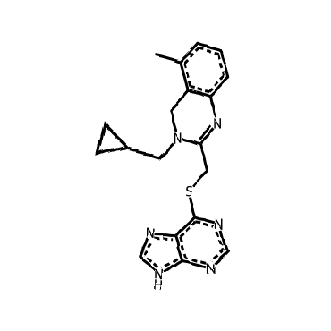 Cc1cccc2c1CN(CC1CC1)C(CSc1ncnc3[nH]cnc13)=N2